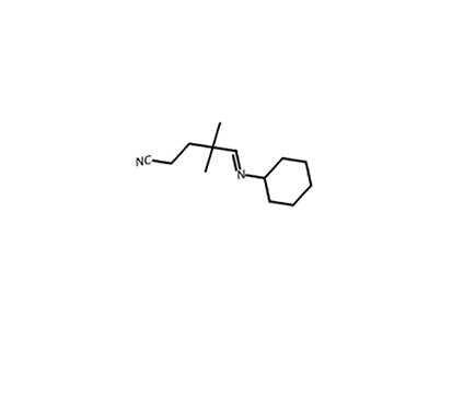 CC(C)(C=NC1CCCCC1)CCC#N